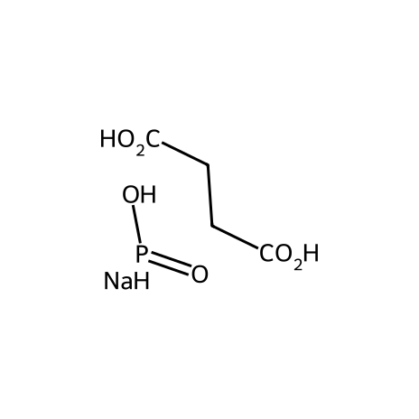 O=C(O)CCC(=O)O.O=PO.[NaH]